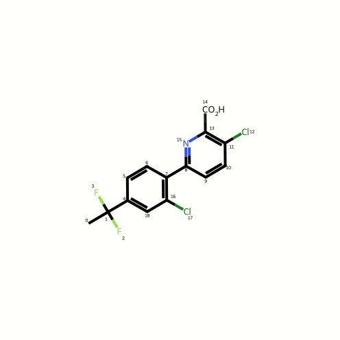 CC(F)(F)c1ccc(-c2ccc(Cl)c(C(=O)O)n2)c(Cl)c1